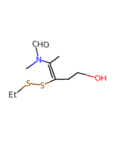 CCSSC(CCO)=C(C)N(C)C=O